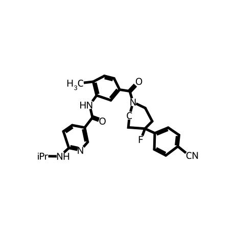 Cc1ccc(C(=O)N2CCC(F)(c3ccc(C#N)cc3)CC2)cc1NC(=O)c1ccc(NC(C)C)nc1